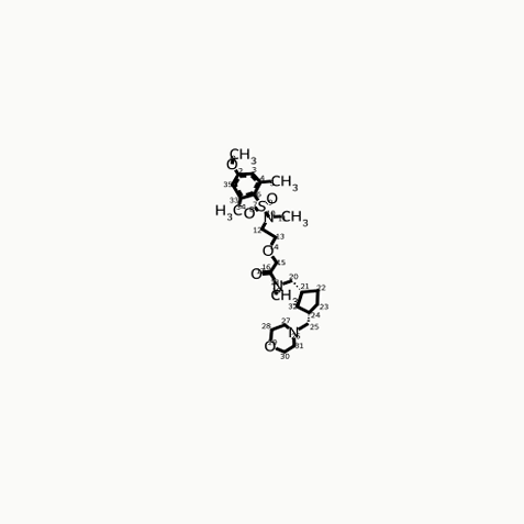 COc1cc(C)c(S(=O)(=O)N(C)CCOCC(=O)N(C)C[C@@H]2CC[C@H](CN3CCOCC3)C2)c(C)c1